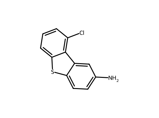 Nc1ccc2sc3cccc(Cl)c3c2c1